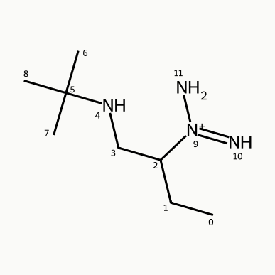 CCC(CNC(C)(C)C)[N+](=N)N